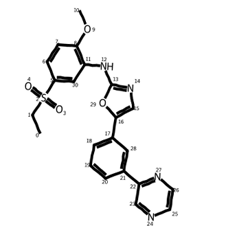 CCS(=O)(=O)c1ccc(OC)c(Nc2ncc(-c3cccc(-c4cnccn4)c3)o2)c1